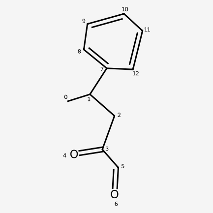 CC(CC(=O)C=O)c1ccccc1